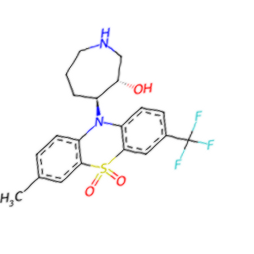 Cc1ccc2c(c1)S(=O)(=O)c1cc(C(F)(F)F)ccc1N2[C@H]1CCCNC[C@@H]1O